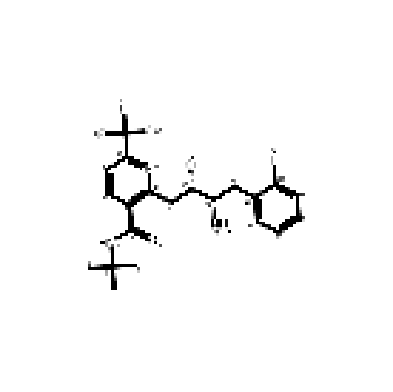 CC(C)(C)NC(=O)c1ccc(C(F)(F)F)nc1C[C@H](O)[C@H](N)Cc1ccccc1F